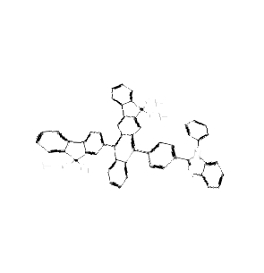 CC1(C)c2ccccc2-c2ccc(-c3c4ccccc4c(-c4ccc(-c5nc6ccccc6n5-c5ccccc5)cc4)c4cc5c(cc34)-c3ccccc3C5(C)C)cc21